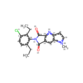 CCc1ccc(Cl)c(CC)c1N1C(=O)c2cc3c(ccn3C)nc2C1=O